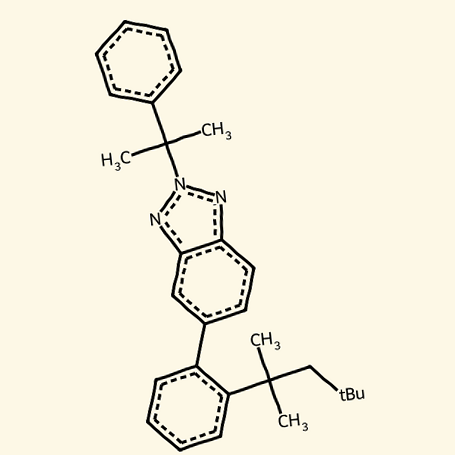 CC(C)(C)CC(C)(C)c1ccccc1-c1ccc2nn(C(C)(C)c3ccccc3)nc2c1